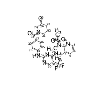 CN(c1ncccc1CNc1nc(Nc2ccc(C(=O)N3CCCC(=O)C3)cc2)ncc1C(F)(F)F)S(C)(=O)=O